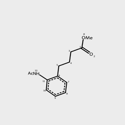 COC(=O)CCCc1ccccc1NC(C)=O